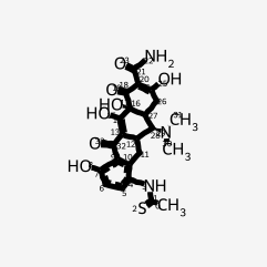 CC(=S)Nc1ccc(O)c2c1CC1C(=C(O)[C@]3(O)C(=O)C(C(N)=O)=C(O)CC3[C@H]1N(C)C)C2=O